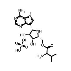 CC(C)C(N)C(=O)OC[C@H]1N[C@@H](c2c[nH]c3c(N)ncnc23)[C@H](O)[C@@H]1O.O=S(=O)(O)O